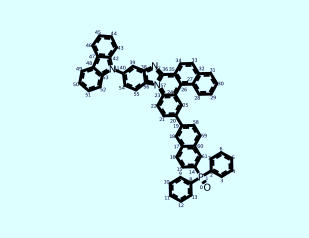 O=P(c1ccccc1)(c1ccccc1)c1ccc2cc(-c3ccc4c(c3)c3c5ccccc5ccc3c3nc5cc(-n6c7ccccc7c7ccccc76)ccc5n43)ccc2c1